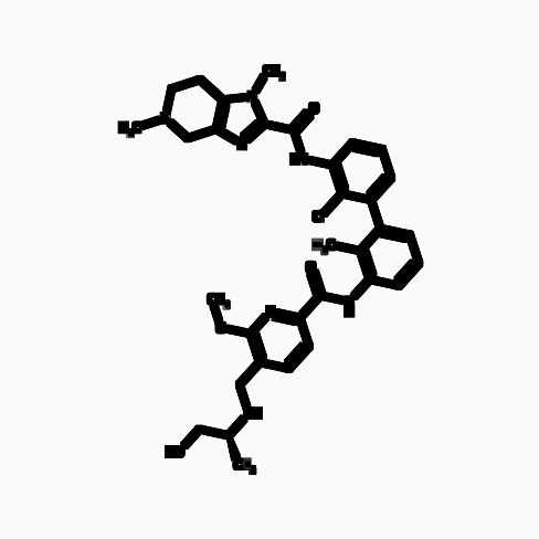 COc1nc(C(=O)Nc2cccc(-c3cccc(NC(=O)c4nc5c(n4C)CCN(C)C5)c3Cl)c2C)ccc1CN[C@@H](C)CO